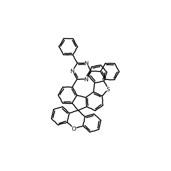 c1ccc(-c2nc(-c3ccccc3)nc(-c3cccc4c3-c3c(ccc5sc6ccccc6c35)C43c4ccccc4Oc4ccccc43)n2)cc1